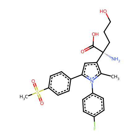 Cc1c([C@](N)(CCCO)C(=O)O)cc(-c2ccc(S(C)(=O)=O)cc2)n1-c1ccc(F)cc1